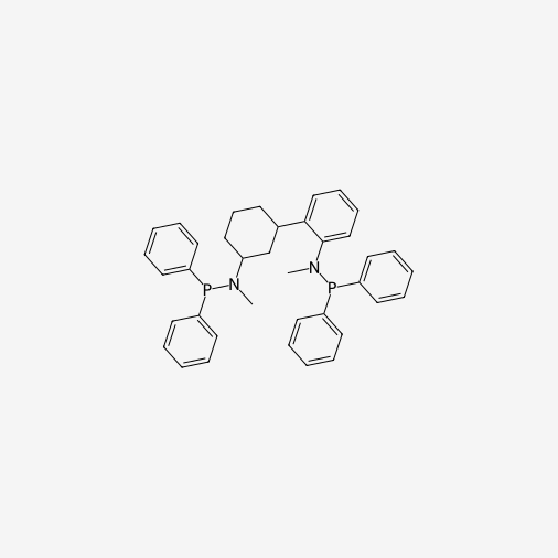 CN(c1ccccc1C1CCCC(N(C)P(c2ccccc2)c2ccccc2)C1)P(c1ccccc1)c1ccccc1